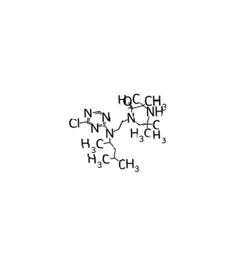 CC(C)CC(C)N(CCN1CC(C)(C)NC(C)(C)C1=O)c1ncnc(Cl)n1